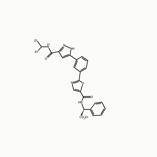 CCOC(=O)[C@@H](NC(=O)c1cnc(-c2cccc(-c3cc(C(=O)NC(CC)CC)n[nH]3)c2)o1)c1ccccc1